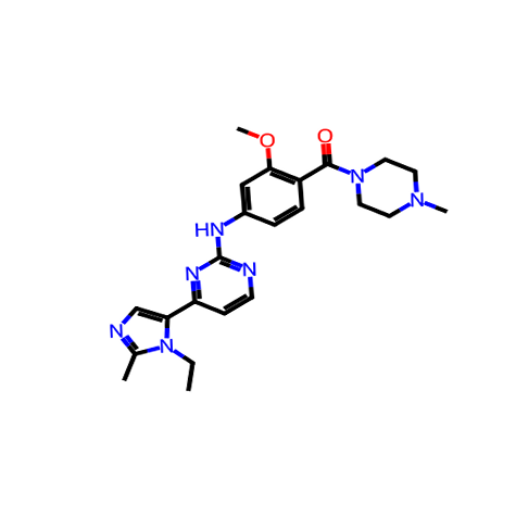 CCn1c(-c2ccnc(Nc3ccc(C(=O)N4CCN(C)CC4)c(OC)c3)n2)cnc1C